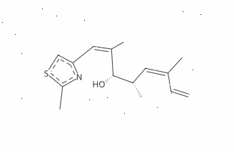 C=CC(C)=C[C@H](C)[C@H](O)C(C)=Cc1csc(C)n1